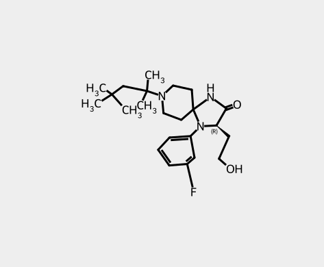 CC(C)(C)CC(C)(C)N1CCC2(CC1)NC(=O)[C@@H](CCO)N2c1cccc(F)c1